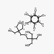 OCC(CO)(CO)COCC(CO)(CO)CO.Oc1c(Cl)c(Cl)c(Cl)c(Cl)c1Cl